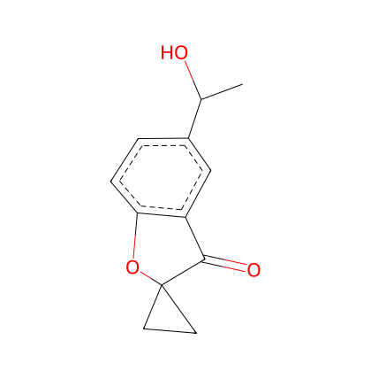 CC(O)c1ccc2c(c1)C(=O)C1(CC1)O2